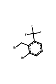 FC(F)(F)c1cccc(Br)c1CBr